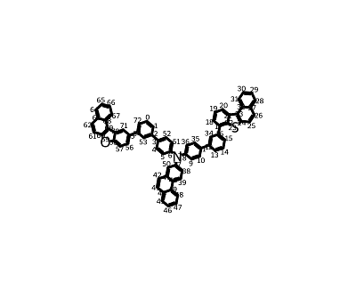 c1cc(-c2ccc(N(c3ccc(-c4cccc(-c5cccc6c5sc5ccc7ccccc7c56)c4)cc3)c3ccc4c(ccc5ccccc54)c3)cc2)cc(-c2ccc3oc4ccc5ccccc5c4c3c2)c1